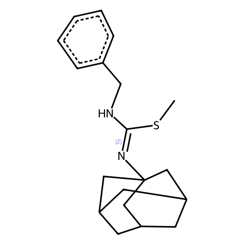 CS/C(=N\C12CC3CC(CC(C3)C1)C2)NCc1ccccc1